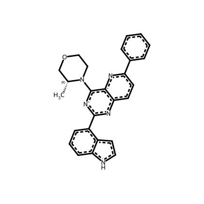 C[C@@H]1COCCN1c1nc(-c2cccc3[nH]ccc23)nc2ccc(-c3ccccc3)nc12